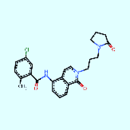 Cc1ccc(Cl)cc1C(=O)Nc1cccc2c(=O)n(CCCN3CCCC3=O)ccc12